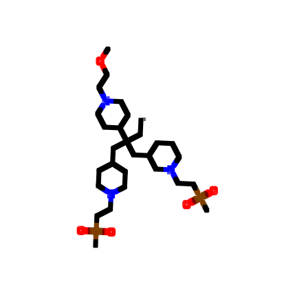 [CH2]CC(CC1CCN(CCS(C)(=O)=O)CC1)(CC1CCCN(CCS(C)(=O)=O)C1)C1CCN(CCOC)CC1